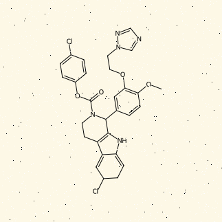 COc1ccc(C2c3[nH]c4c(c3CCN2C(=O)Oc2ccc(Cl)cc2)=CC(Cl)CC=4)cc1OCCn1cncn1